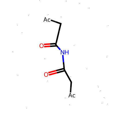 CC(=O)CC(=O)NC(=O)CC(C)=O